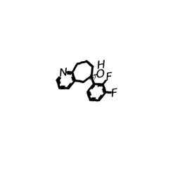 O[C@@]1(c2cccc(F)c2F)CCCc2ncccc2C1